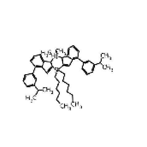 CCCCCC[Si]1(CCCCCC)C2=Cc3c(-c4cccc(C(C)C)c4)cccc3[CH]2[Hf]([CH3])([CH3])[CH]2C1=Cc1c(-c3cccc(C(C)C)c3)cccc12